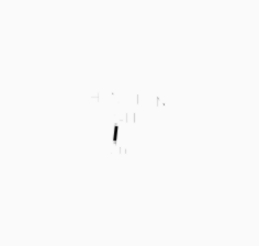 [AlH3].[Fe].[Ni].[SiH3][Zn]